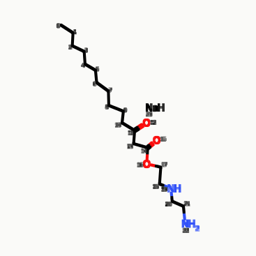 CCCCCCCCCCCC(=O)CC(=O)OCCNCCN.[NaH]